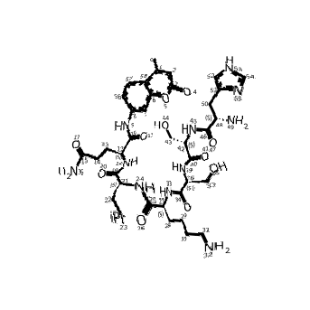 Cc1cc(=O)oc2cc(NC(=O)[C@H](CCC(N)=O)NC(=O)[C@H](CC(C)C)NC(=O)[C@H](CCCCN)NC(=O)[C@H](CO)NC(=O)[C@H](CO)NC(=O)[C@@H](N)Cc3c[nH]cn3)ccc12